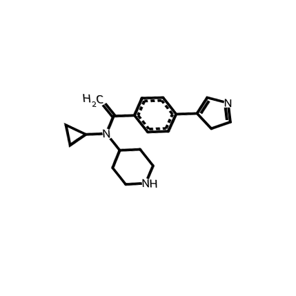 C=C(c1ccc(C2=CN=CC2)cc1)N(C1CCNCC1)C1CC1